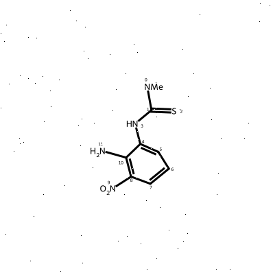 CNC(=S)Nc1cccc([N+](=O)[O-])c1N